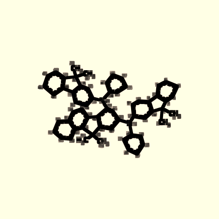 CC1(C)c2ccccc2-c2ccc(N(c3ccccc3)c3cc(N(c4ccccc4)c4ccc5c(c4)C(C)(C)c4ccccc4-5)c4c(c3)C(C)(C)c3c-4ccc4ccccc34)cc21